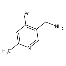 Cc1cc(C(C)C)c(CN)cn1